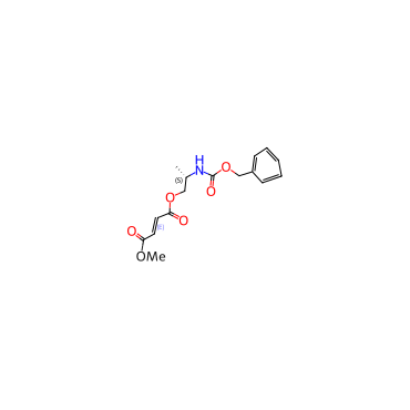 COC(=O)/C=C/C(=O)OC[C@H](C)NC(=O)OCc1ccccc1